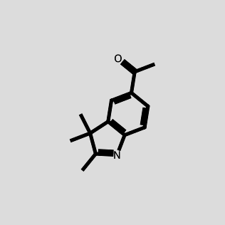 CC(=O)c1ccc2c(c1)C(C)(C)C(C)=N2